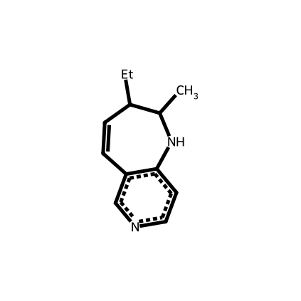 CCC1C=Cc2cnccc2NC1C